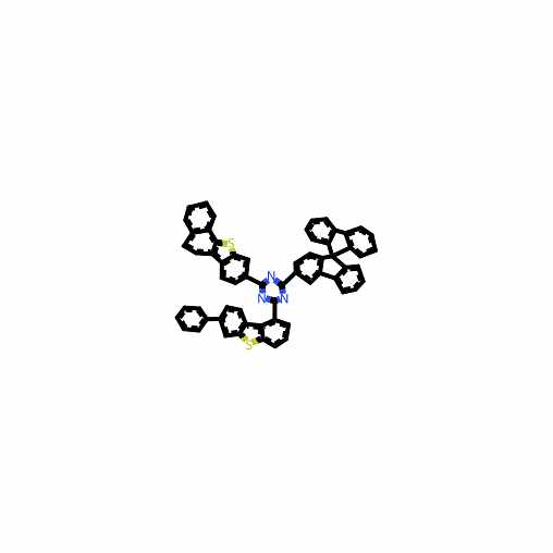 c1ccc(-c2ccc3c(c2)sc2cccc(-c4nc(-c5ccc6c(c5)-c5ccccc5C65c6ccccc6-c6ccccc65)nc(-c5ccc6c(c5)sc5c7ccccc7ccc65)n4)c23)cc1